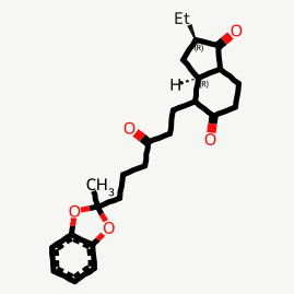 CC[C@@H]1C[C@@H]2C(CCC(=O)CCCC3(C)Oc4ccccc4O3)C(=O)CCC2C1=O